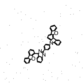 c1ccc2c(-c3cccc4c3oc3ccccc34)nc(-c3ccc(-n4c5ccccc5c5c6oc7ccccc7c6ccc54)cc3)nc2c1